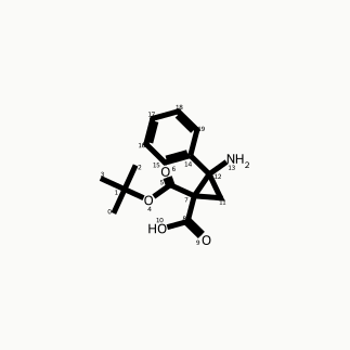 CC(C)(C)OC(=O)C1(C(=O)O)CC1(N)c1ccccc1